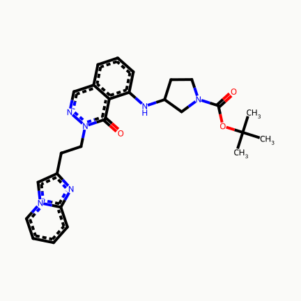 CC(C)(C)OC(=O)N1CCC(Nc2cccc3cnn(CCc4cn5ccccc5n4)c(=O)c23)C1